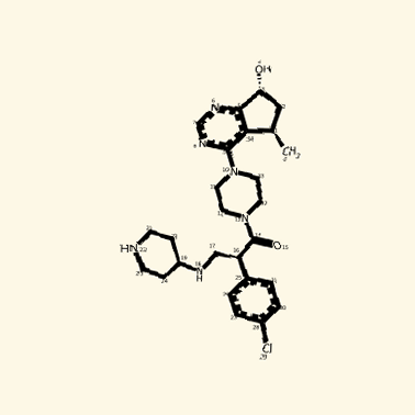 C[C@@H]1C[C@@H](O)c2ncnc(N3CCN(C(=O)[C@H](CNC4CCNCC4)c4ccc(Cl)cc4)CC3)c21